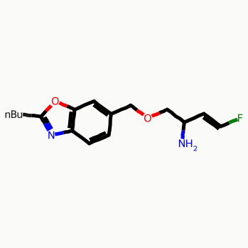 CCCCc1nc2ccc(COCC(N)C=CF)cc2o1